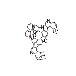 c1ccc2c(c1)oc1c2ncc2c1c1c3c(cc4c5c6c(ncc5n2c41)C1CC2CC(C1)C6C2)oc1cc2c4c5c(ncc4n4c6cnc7c8ccccc8oc7c6c(c13)c24)C1CC2CC3CC5C23C1